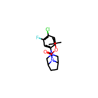 CC(C)(C)OC(=O)N1C2CCC1CN(c1ccc(Cl)c(F)c1)C2